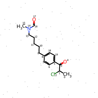 CC(Cl)C(=O)c1ccc(CCCCCN(C)C=O)cc1